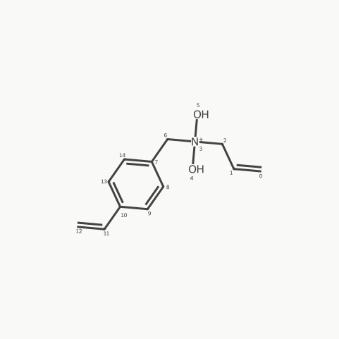 C=CC[N+](O)(O)Cc1ccc(C=C)cc1